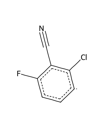 N#Cc1c(Cl)[c]ccc1F